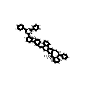 CC1(C)c2cc3c(cc2CCC(c2ccccc2)c2ccccc21)-c1ccccc1/C(=C\c1ccc2oc4c(-c5nc(-c6ccccc6)nc(-c6ccccc6)n5)cccc4c2c1)C3